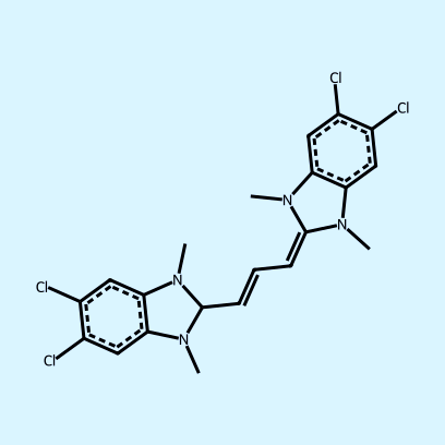 CN1C(=CC=CC2N(C)c3cc(Cl)c(Cl)cc3N2C)N(C)c2cc(Cl)c(Cl)cc21